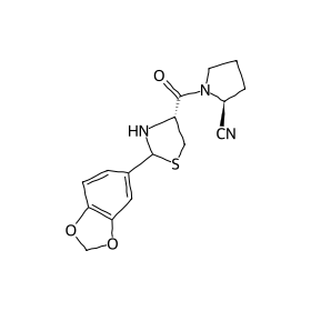 N#C[C@@H]1CCCN1C(=O)[C@@H]1CSC(c2ccc3c(c2)OCO3)N1